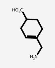 NCC1=CCC(C(=O)O)CC1